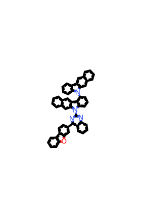 c1ccc2cc3c(cc2c1)c1ccccc1n3-c1cccc2c1c1cc3ccccc3cc1n2-c1nc(-c2ccc3c(c2)oc2ccccc23)c2ccccc2n1